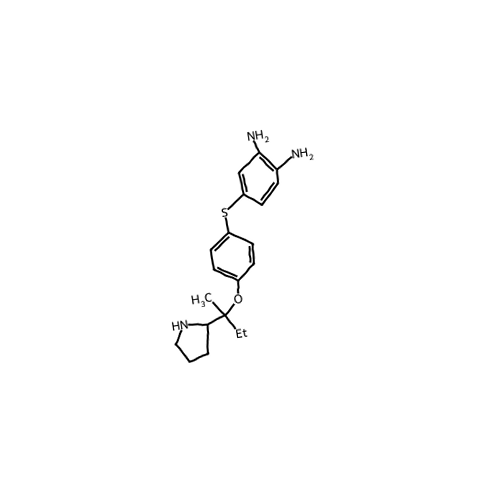 CCC(C)(Oc1ccc(Sc2ccc(N)c(N)c2)cc1)C1CCCN1